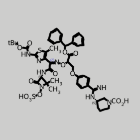 Cc1sc(NC(=O)OC(C)(C)C)nc1/C(=N/OC(COc1ccc(C(=N)N[C@H]2CCCN(C(=O)O)C2)cc1)C(=O)OC(c1ccccc1)c1ccccc1)C(=O)N[C@@H]1C(=O)N(OS(=O)(=O)O)C1(C)C